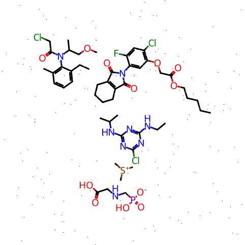 CCCCCOC(=O)COc1cc(N2C(=O)C3=C(CCCC3)C2=O)c(F)cc1Cl.CCNc1nc(Cl)nc(NC(C)C)n1.CCc1cccc(C)c1N(C(=O)CCl)C(C)COC.C[S+](C)C.O=C(O)CNCP(=O)([O-])O